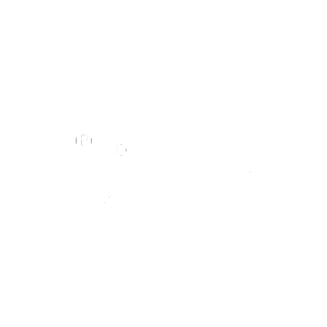 CC(C)(C)OC(=O)CC1C2CC3CC(C2)CC1C3